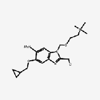 CNc1cc2c(cc1OCC1CC1)nc(CCl)n2COCC[Si](C)(C)C